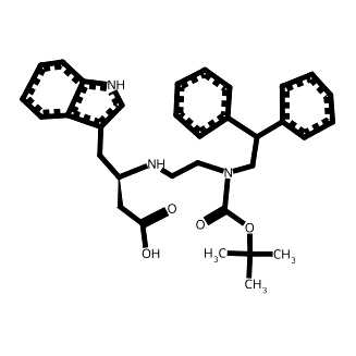 CC(C)(C)OC(=O)N(CCN[C@@H](CC(=O)O)Cc1c[nH]c2ccccc12)CC(c1ccccc1)c1ccccc1